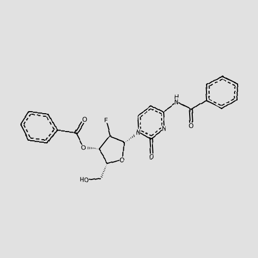 O=C(Nc1ccn([C@@H]2O[C@H](CO)[C@H](OC(=O)c3ccccc3)C2F)c(=O)n1)c1ccccc1